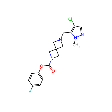 Cn1ncc(Cl)c1CN1CC2(C1)CN(C(=O)Oc1ccc(F)cc1)C2